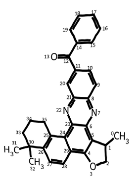 CC1COc2c1c1nc3ccc(C(=O)c4ccccc4)cc3nc1c1c3c(ccc21)C(C)(C)CCC3